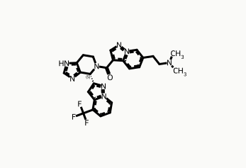 CN(C)CCc1ccc2c(C(=O)N3CCc4[nH]cnc4[C@H]3c3cc4c(C(F)(F)F)cccn4n3)cnn2c1